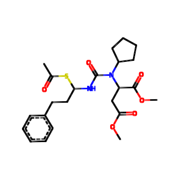 COC(=O)CC(C(=O)OC)N(C(=O)NC(CCc1ccccc1)SC(C)=O)C1CCCC1